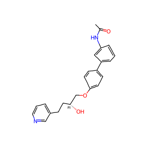 CC(=O)Nc1cccc(-c2ccc(OC[C@H](O)CCc3cccnc3)cc2)c1